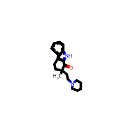 CC1(CCN2CCCCC2)CCc2c([nH]c3ccccc23)C1=O